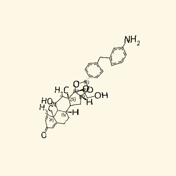 C[C@]12C=CC(=O)C=C1CC[C@@H]1C2[C@@H](O)C[C@@]2(C)C1C[C@H]1O[C@@H](c3ccc(Cc4cccc(N)c4)cc3)O[C@]12C(=O)CO